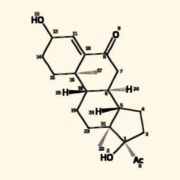 CC(=O)[C@@]1(O)CC[C@H]2[C@@H]3CC(=O)C4=CC(O)CC[C@]4(C)[C@H]3CC[C@@]21C